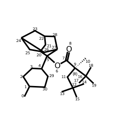 CC1CCC(C2(OC(=O)[C@](C)(CC(C)(C)C)C(C)(C)C)C3CC4CC(C3)CC2C4)CC1